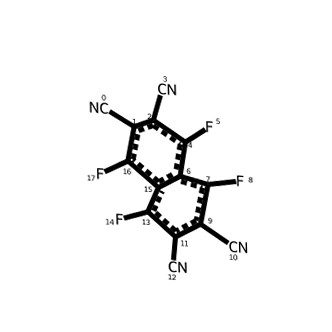 N#Cc1c(C#N)c(F)c2c(F)c(C#N)c(C#N)c(F)c2c1F